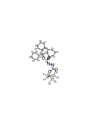 CC(C)[Si](OC(=O)/N=N/C(=O)O[Si](c1ccccc1)(c1ccccc1)c1ccccc1)(C(C)C)C(C)C